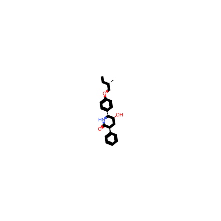 CC[C@H](C)COc1ccc([C@H]2NC(=O)[C@H](c3ccccc3)C[C@H]2O)cc1